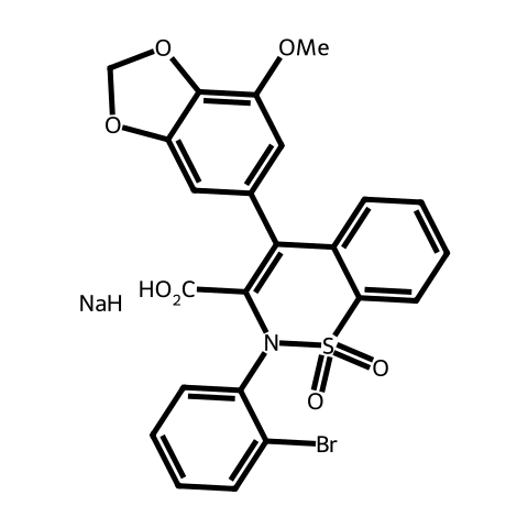 COc1cc(C2=C(C(=O)O)N(c3ccccc3Br)S(=O)(=O)c3ccccc32)cc2c1OCO2.[NaH]